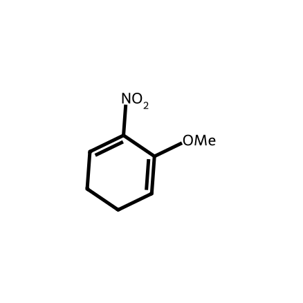 COC1=CCCC=C1[N+](=O)[O-]